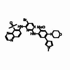 COc1cc(N2CCOCC2)c(-c2ccn(C)c2)cc1Nc1ncc(Br)c(Nc2ccc3nccnc3c2P(C)(C)=O)n1